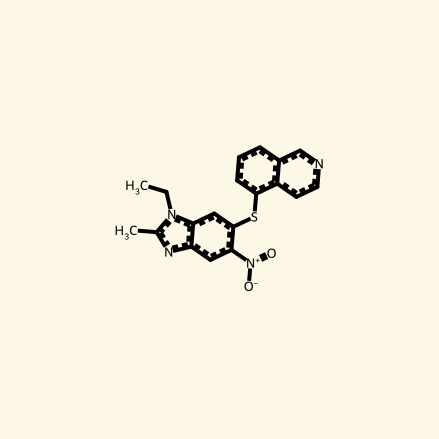 CCn1c(C)nc2cc([N+](=O)[O-])c(Sc3cccc4cnccc34)cc21